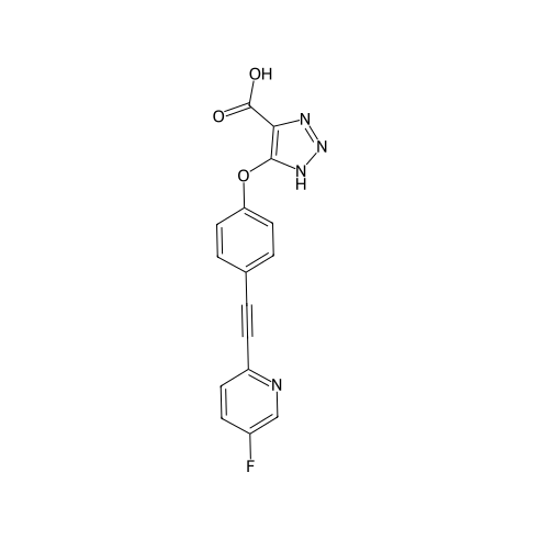 O=C(O)c1nn[nH]c1Oc1ccc(C#Cc2ccc(F)cn2)cc1